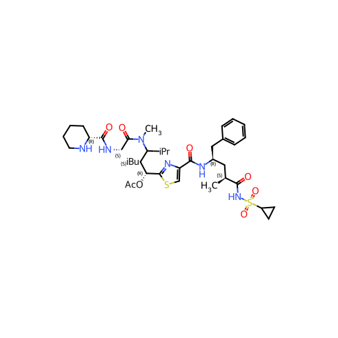 CC[C@H](C)[C@H](NC(=O)[C@H]1CCCCN1)C(=O)N(C)C(C[C@@H](OC(C)=O)c1nc(C(=O)N[C@@H](Cc2ccccc2)C[C@H](C)C(=O)NS(=O)(=O)C2CC2)cs1)C(C)C